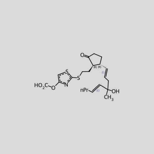 CCC/C=C/C(C)(O)C/C=C/[C@H]1CCC(=O)[C@@H]1CCSc1nc(OC(=O)O)cs1